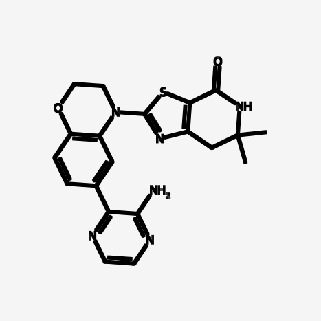 CC1(C)Cc2nc(N3CCOc4ccc(-c5nccnc5N)cc43)sc2C(=O)N1